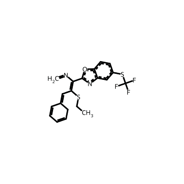 C=N/C(=C(\C=C1\C=CC=CC1)SCC)c1nc2cc(SC(F)(F)F)ccc2o1